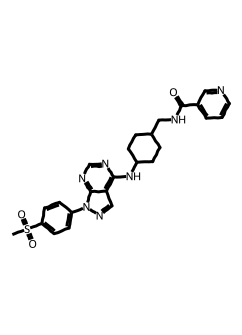 CS(=O)(=O)c1ccc(-n2ncc3c(NC4CCC(CNC(=O)c5cccnc5)CC4)ncnc32)cc1